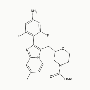 COC(=O)N1CCOC(Cc2c(-c3c(F)cc(N)cc3F)nc3cc(C)ccn23)C1